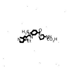 CCn1c(-c2nc3cc(C(=O)N4CCCC(NC(=O)O)C4)ccc3n2C)cc2cnccc21